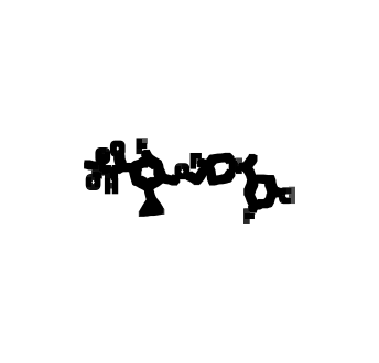 CC(C1=CC(F)CC(Cl)=C1)N1CCC(F)(COCc2cc(F)c(C(=O)NS(C)(=O)=O)cc2C2CC2)CC1